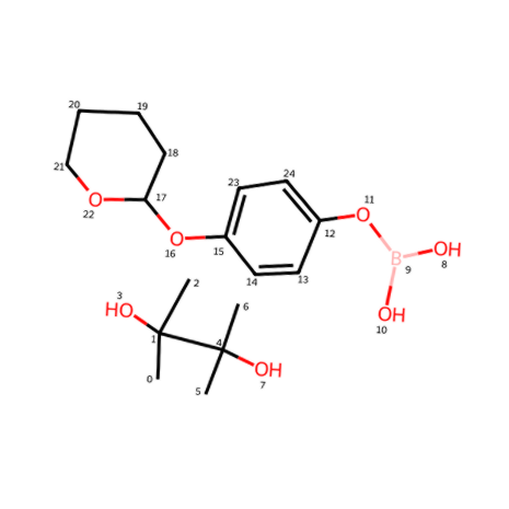 CC(C)(O)C(C)(C)O.OB(O)Oc1ccc(OC2CCCCO2)cc1